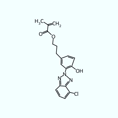 C=C(C)C(=O)OCCCc1ccc(O)c(-n2nc3cccc(Cl)c3n2)c1